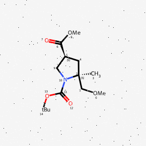 COC[C@]1(C)C[C@H](C(=O)OC)CN1C(=O)OC(C)(C)C